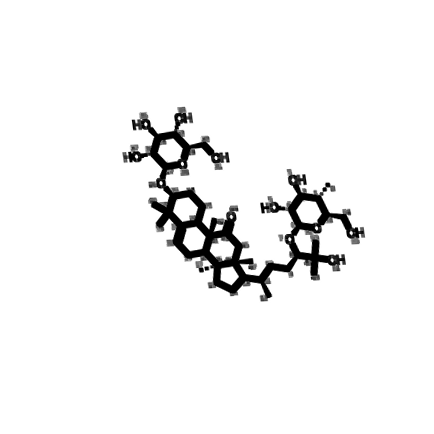 C[C@H]1[C@H](O)[C@@H](O)[C@H](O[C@H](CC[C@@H](C)C2CC[C@@]3(C)C4CC=C5C(CC[C@H](O[C@@H]6O[C@H](CO)[C@@H](O)[C@H](O)[C@H]6O)C5(C)C)[C@]4(C)C(=O)C[C@]23C)C(C)(C)O)O[C@@H]1CO